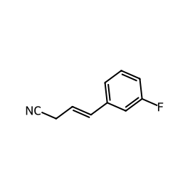 N#CCC=Cc1cccc(F)c1